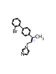 C/C(=C/Cn1ccnc1)c1ccc(-c2ccccc2Br)cc1